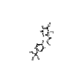 Cc1c(OC(C)Cc2ccc(C(F)(F)F)cc2)ccnc1Cl